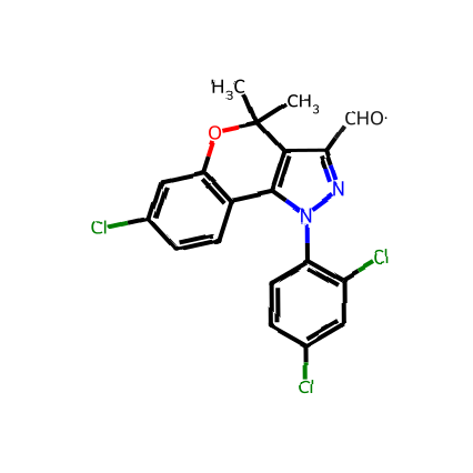 CC1(C)Oc2cc(Cl)ccc2-c2c1c([C]=O)nn2-c1ccc(Cl)cc1Cl